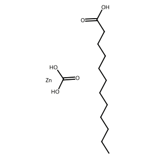 CCCCCCCCCCCC(=O)O.O=C(O)O.[Zn]